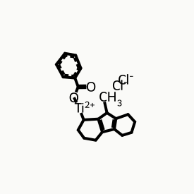 CC1C2=C(CCCC2)C2=C1[CH]([Ti+2][O]C(=O)c1ccccc1)CCC2.[Cl-].[Cl-]